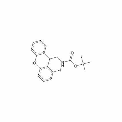 CC(C)(C)OC(=O)NCC1c2ccccc2Oc2cccc(I)c21